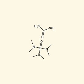 CN(C)P(=O)(N(C)C)N(C)C.NC(N)=O